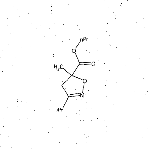 CCCOC(=O)C1(C)CC(C(C)C)=NO1